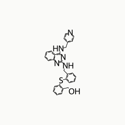 OCc1ccccc1Sc1ccccc1CNc1nc(NCc2ccncc2)c2ccccc2n1